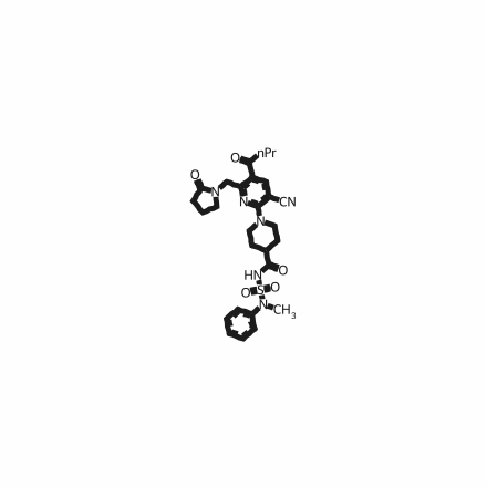 CCCC(=O)c1cc(C#N)c(N2CCC(C(=O)NS(=O)(=O)N(C)c3ccccc3)CC2)nc1CN1CCCC1=O